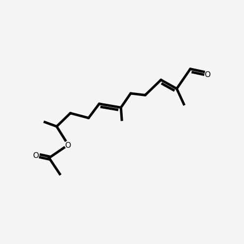 CC(=O)OC(C)CC/C=C(\C)CC/C=C(\C)C=O